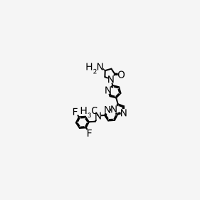 CN(Cc1cc(F)ccc1F)c1ccc2ncc(-c3ccc(N4C[C@@H](N)CC4=O)nc3)n2n1